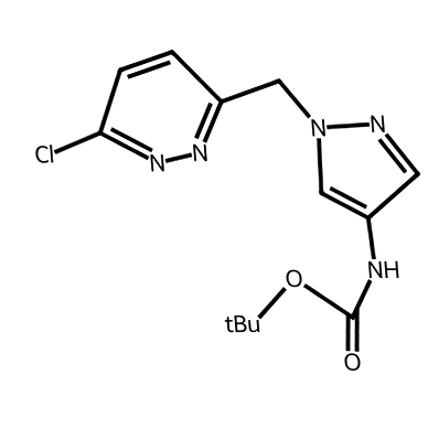 CC(C)(C)OC(=O)Nc1cnn(Cc2ccc(Cl)nn2)c1